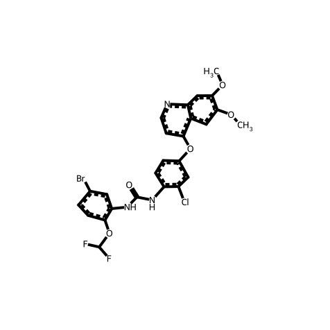 COc1cc2nccc(Oc3ccc(NC(=O)Nc4cc(Br)ccc4OC(F)F)c(Cl)c3)c2cc1OC